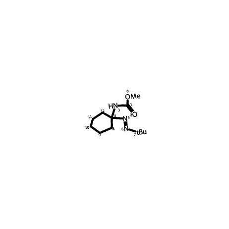 COC(=O)NC1(N=NC(C)(C)C)CCCCC1